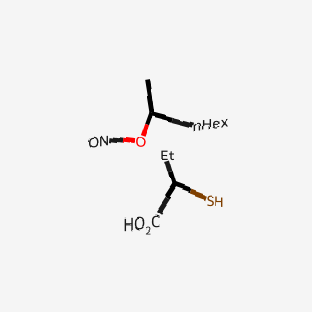 CCC(S)C(=O)O.CCCCCCC(C)ON=O